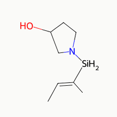 CC=C(C)[SiH2]N1CCC(O)C1